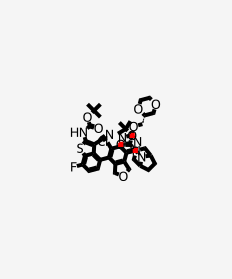 CC(C)(C)OC(=O)Nc1sc2c(F)ccc(-c3c4c(c5c(N6C7CCC6CN(C(=O)OC(C)(C)C)C7)nc(OC[C@H]6COCCO6)nc5c3Cl)COC4)c2c1C#N